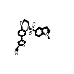 Cn1ccc2cc(S(=O)(=O)N3CCOc4ccc(-c5csc(C#N)c5)cc43)ccc21